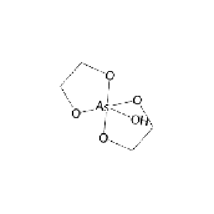 O[As]12(OCCO1)OCCO2